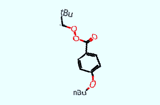 CCCCOc1ccc(C(=O)OO[CH]C(C)(C)C)cc1